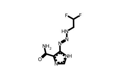 NC(=O)c1nc[nH]c1/N=N/NCC(F)F